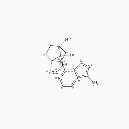 Nc1noc2c(N3C[C@@H]4CC[C@H]3[C@@H]4NC(=O)O)nccc12